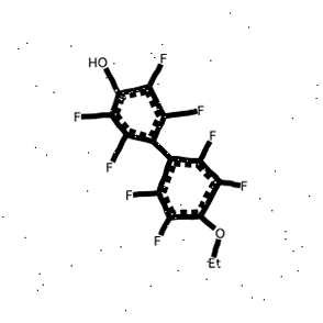 CCOc1c(F)c(F)c(-c2c(F)c(F)c(O)c(F)c2F)c(F)c1F